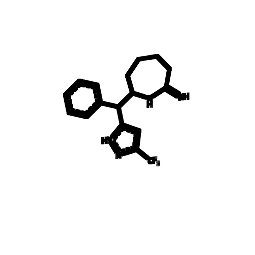 N=C1CCCCC(C(c2ccccc2)c2cc(C(F)(F)F)n[nH]2)N1